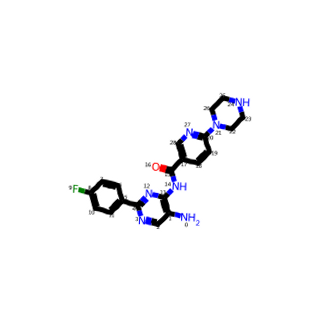 Nc1cnc(-c2ccc(F)cc2)nc1NC(=O)c1ccc(N2CCNCC2)nc1